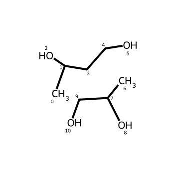 CC(O)CCO.CC(O)CO